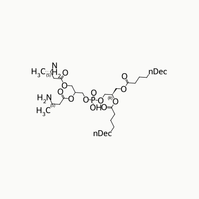 CCCCCCCCCCCCCC(=O)OC[C@H](COP(=O)(O)OCC(COC(=O)C[C@H](C)N)OC(=O)C[C@H](C)N)OC(=O)CCCCCCCCCCCCC